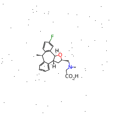 C[C@@H]1c2ccccc2[C@H]2C[C@H](CN(C)CC(=O)O)O[C@@H]2c2cc(F)ccc21